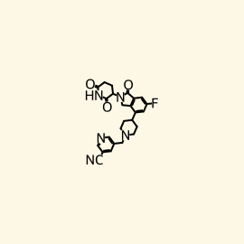 N#Cc1cncc(CN2CCC(c3cc(F)cc4c3CN(C3CCC(=O)NC3=O)C4=O)CC2)c1